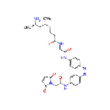 CO[C@H](CCCC(=O)NCC(=O)Nc1ccc(/N=N\c2ccc(NC(=O)CN3C(=O)C=CC3=O)cc2)cc1)C[C@H](N)C=O